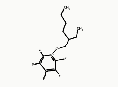 CCCCC(CC)CO[n+]1c(F)c(F)c(F)c(F)c1F